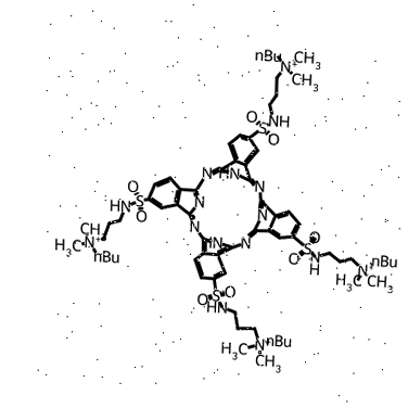 CCCC[N+](C)(C)CCCNS(=O)(=O)c1ccc2c(c1)-c1nc-2nc2[nH]c(nc3nc(nc4[nH]c(n1)c1ccc(S(=O)(=O)NCCC[N+](C)(C)CCCC)cc41)-c1cc(S(=O)(=O)NCCC[N+](C)(C)CCCC)ccc1-3)c1cc(S(=O)(=O)NCCC[N+](C)(C)CCCC)ccc21